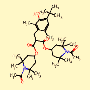 CC(=O)N1C(C)(C)CC(OC(=O)C(Cc2c(C)cc(C(C)(C)C)c(O)c2C)C(=O)OC2CC(C)(C)N(C(C)=O)C(C)(C)C2)CC1(C)C